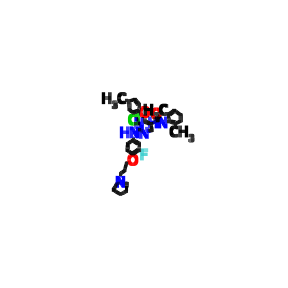 Cc1ccc(Oc2nc(Nc3ccc(OCCCN4CCCCC4)c(F)c3)ncc2C(=O)Nc2c(C)cccc2C)c(Cl)c1